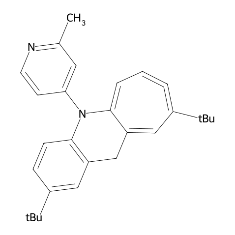 Cc1cc(N2C3=CC=C=C(C(C)(C)C)C=C3Cc3cc(C(C)(C)C)ccc32)ccn1